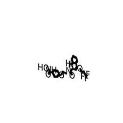 O=C(NO)c1ccc(OCCNC(=O)c2cc(OCCC(F)(F)F)c3ccccc3n2)cc1